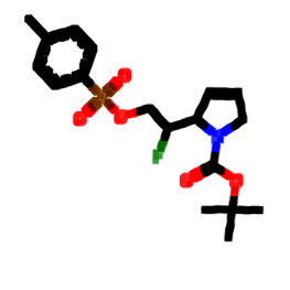 Cc1ccc(S(=O)(=O)OCC(F)C2C=CCN2C(=O)OC(C)(C)C)cc1